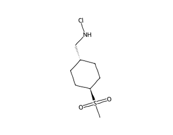 CS(=O)(=O)[C@H]1CC[C@H](CNCl)CC1